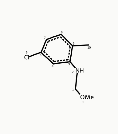 COCNc1cc(Cl)ccc1C